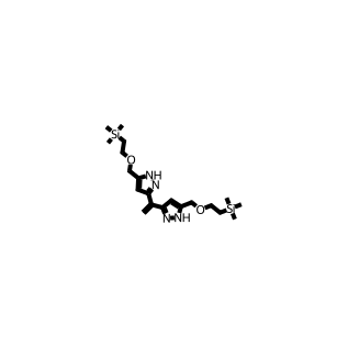 C=C(c1cc(COCC[Si](C)(C)C)[nH]n1)c1cc(COCC[Si](C)(C)C)[nH]n1